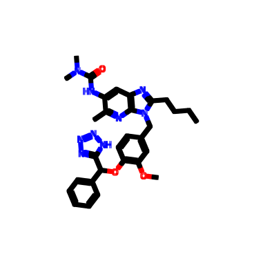 CCCCc1nc2cc(NC(=O)N(C)C)c(C)nc2n1Cc1ccc(OC(c2ccccc2)c2nnn[nH]2)c(OC)c1